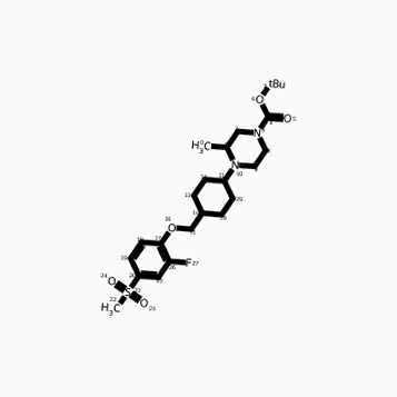 CC1CN(C(=O)OC(C)(C)C)CCN1C1CCC(COc2ccc(S(C)(=O)=O)cc2F)CC1